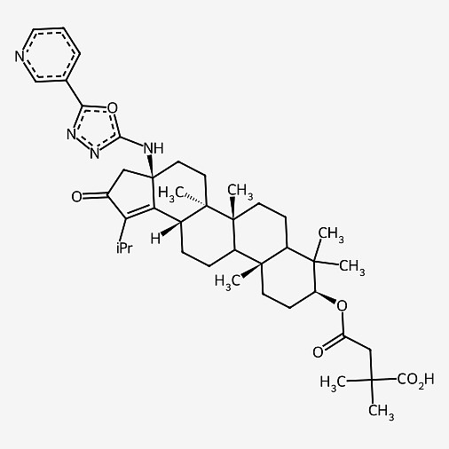 CC(C)C1=C2[C@H]3CCC4[C@@]5(C)CC[C@H](OC(=O)CC(C)(C)C(=O)O)C(C)(C)C5CC[C@@]4(C)[C@]3(C)CC[C@@]2(Nc2nnc(-c3cccnc3)o2)CC1=O